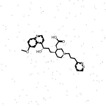 COc1ccc2nccc([C@@H](O)CC[C@@H]3CCN(CCCc4cccnn4)C[C@@H]3CC(=O)O)c2c1